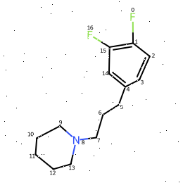 Fc1ccc(CCCN2CCCCC2)cc1F